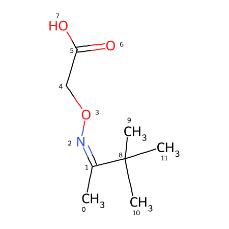 CC(=NOCC(=O)O)C(C)(C)C